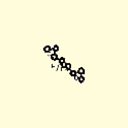 CC1(C)c2cc(-c3ccc4c(c3)-c3ccccc3-c3ccccc3O4)ccc2-c2ccc(-c3ccc4c(c3)-c3ccccc3-c3ccccc3O4)cc21